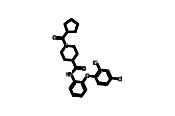 O=C(Nc1ccccc1Oc1ccc(Cl)cc1Cl)C1CCN(C(=O)C2CCCC2)CC1